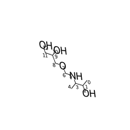 CC(O)C(C)NCOCC(O)CO